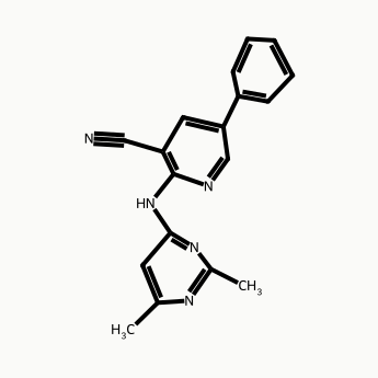 Cc1cc(Nc2ncc(-c3ccccc3)cc2C#N)nc(C)n1